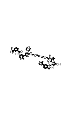 Cc1ncc(NC(=O)c2cccc(C(F)(F)F)c2)cc1-c1cnc(OCCOCCOCCOCC(=O)N[C@@H](C(=O)N2C[C@H](O)C[C@H]2C(=O)N[C@@H](C)c2ccc(-c3scnc3C)cc2)C(C)(C)C)c(N2CCOCC2)c1